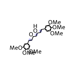 COc1cc(/C=C/C(=O)/C=C(O)/C=C/c2cc(OC)c(OC)c(OC)c2)cc(OC)c1OC